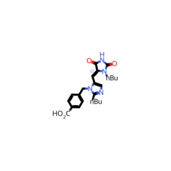 CCCCc1ncc(/C=C2/C(=O)NC(=O)N2CCCC)n1Cc1ccc(C(=O)O)cc1